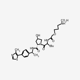 Cc1ncsc1-c1ccc([C@H](C)NC(=O)[C@@H]2C[C@@H](O)CN2C(=O)C(NC(=O)COCCCNC(=O)O)C(C)(C)C)cc1